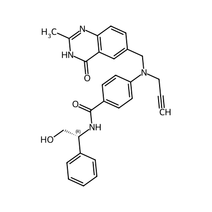 C#CCN(Cc1ccc2nc(C)[nH]c(=O)c2c1)c1ccc(C(=O)N[C@@H](CO)c2ccccc2)cc1